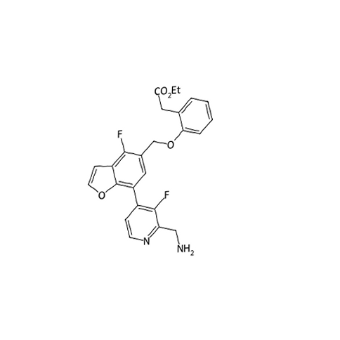 CCOC(=O)Cc1ccccc1OCc1cc(-c2ccnc(CN)c2F)c2occc2c1F